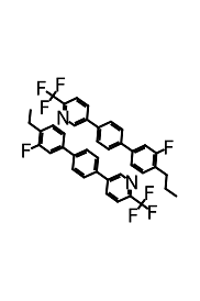 CCCc1ccc(-c2ccc(-c3ccc(C(F)(F)F)nc3)cc2)cc1F.CCc1ccc(-c2ccc(-c3ccc(C(F)(F)F)nc3)cc2)cc1F